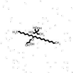 CCC(CO)(CO)CO.CCCCCCCCCCCC(CCCCCCCC)OCC(O)CO